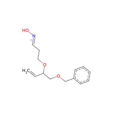 C=CC(COCc1ccccc1)OCC/C=N/O